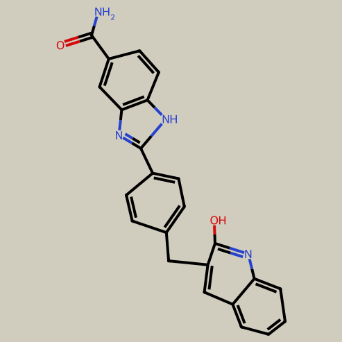 NC(=O)c1ccc2[nH]c(-c3ccc(Cc4cc5ccccc5nc4O)cc3)nc2c1